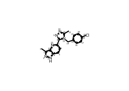 Cc1n[nH]c2ccc(-c3nnc(C)n3Cc3ccc(Cl)cc3)nc12